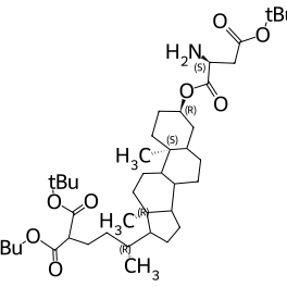 C[C@H](CCC(C(=O)OC(C)(C)C)C(=O)OC(C)(C)C)C1CCC2C3CCC4C[C@H](OC(=O)[C@@H](N)CC(=O)OC(C)(C)C)CC[C@]4(C)C3CC[C@@]21C